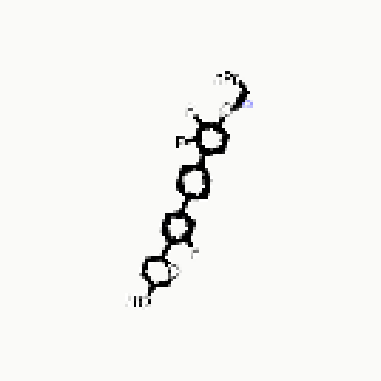 CCC/C=C\Oc1ccc(-c2ccc(-c3ccc(C4CCC(O)CO4)c(F)c3)cc2)c(F)c1F